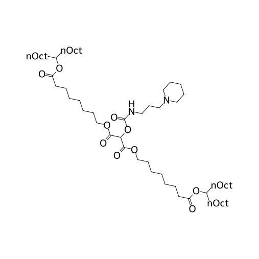 CCCCCCCCC(CCCCCCCC)OC(=O)CCCCCCCOC(=O)C(OC(=O)NCCCN1CCCCC1)C(=O)OCCCCCCCC(=O)OC(CCCCCCCC)CCCCCCCC